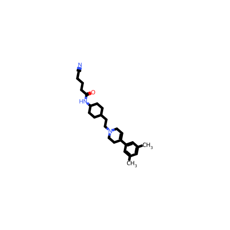 Cc1cc(C)cc(C2=CCN(CCC3CCC(NC(=O)CCCC#N)CC3)CC2)c1